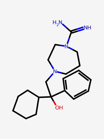 N=C(N)N1CCCN(CC(O)(c2ccccc2)C2CCCCC2)CC1